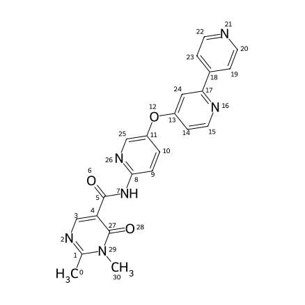 Cc1ncc(C(=O)Nc2ccc(Oc3ccnc(-c4ccncc4)c3)cn2)c(=O)n1C